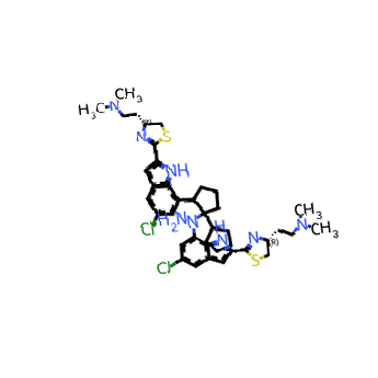 CN(C)CC[C@@H]1CSC(c2cc3cc(Cl)cc(C4CCCC4(C4CCCC4)N(N)c4cc(Cl)cc5cc(C6=N[C@H](CCN(C)C)CS6)[nH]c45)c3[nH]2)=N1